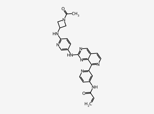 C=CC(=O)Nc1ccnc(-c2nccc3cnc(Nc4ccc(NC5CN(C(C)=O)C5)nc4)nc23)c1